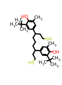 Cc1cc(C(CCS)CCCC(CCS)c2cc(C)c(O)c(C(C)(C)C)c2)cc(C(C)(C)C)c1O